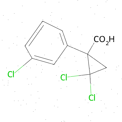 O=C(O)C1(c2cccc(Cl)c2)CC1(Cl)Cl